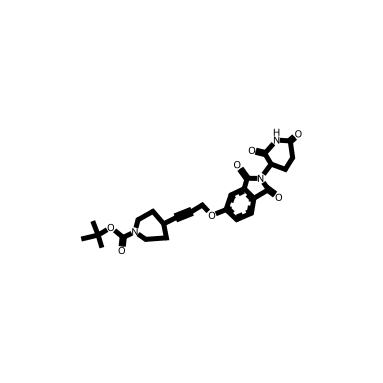 CC(C)(C)OC(=O)N1CCC(C#CCOc2ccc3c(c2)C(=O)N(C2CCC(=O)NC2=O)C3=O)CC1